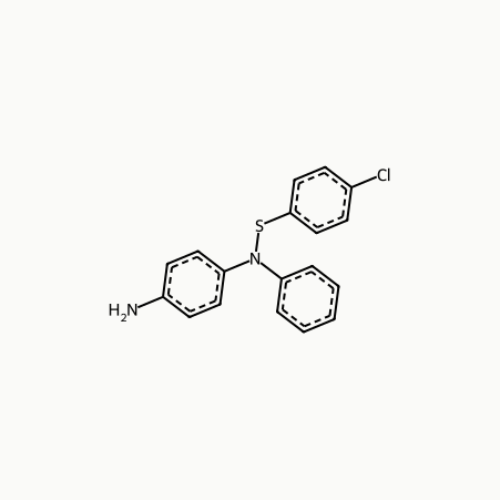 Nc1ccc(N(Sc2ccc(Cl)cc2)c2ccccc2)cc1